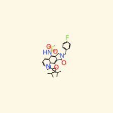 CC(C)[Si](Oc1c2c(c(NS(C)(=O)=O)c3cccnc13)CN(Cc1ccc(F)cc1)C2=O)(C(C)C)C(C)C